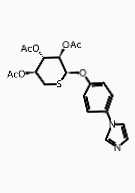 CC(=O)O[C@@H]1[C@@H](OC(C)=O)[C@@H](Oc2ccc(-n3ccnc3)cc2)SC[C@H]1OC(C)=O